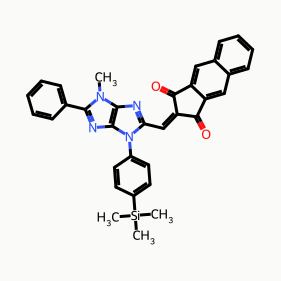 Cn1c(-c2ccccc2)nc2c1nc(C=C1C(=O)c3cc4ccccc4cc3C1=O)n2-c1ccc([Si](C)(C)C)cc1